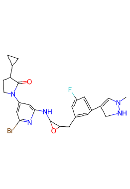 CN1C=C(c2cc(F)cc(CC3OC3Nc3cc(N4CCC(C5CC5)C4=O)cc(Br)n3)c2)CN1